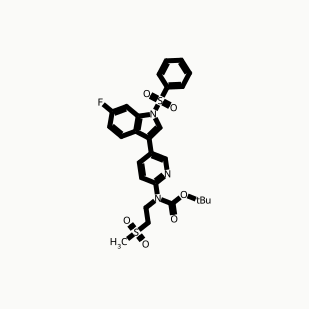 CC(C)(C)OC(=O)N(CCS(C)(=O)=O)c1ccc(-c2cn(S(=O)(=O)c3ccccc3)c3cc(F)ccc23)cn1